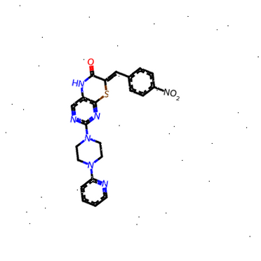 O=C1Nc2cnc(N3CCN(c4ccccn4)CC3)nc2S/C1=C\c1ccc([N+](=O)[O-])cc1